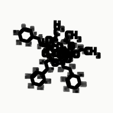 CCO[Si](C)(CCC1C=CCCC1)O[Si](C)(CCC1C=CCCC1)O[Si](C)(CCC1C=CCCC1)O[Si](OCC)(OCC)OCC